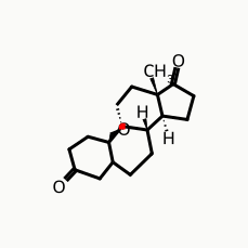 C[C@]12CC[C@]34OC[C@@]35CCC(=O)CC5CC[C@H]4[C@@H]1CCC2=O